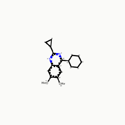 COc1cc2nc(C3CC3)nc(C3CCCCC3)c2cc1OC